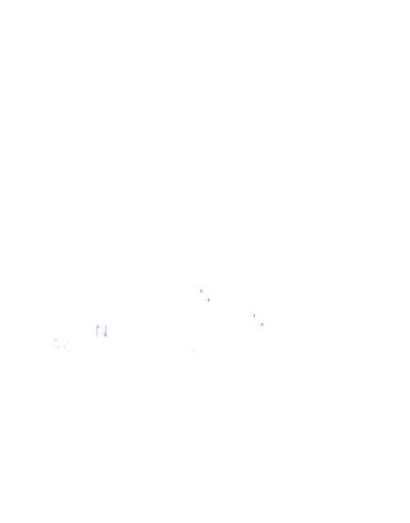 CC(=O)N1CCc2c(sc3nc(-c4ccccc4)c(-c4ccccc4)n23)C1